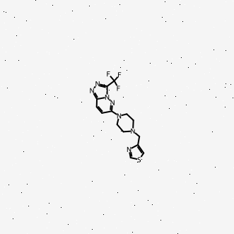 FC(F)(F)c1nnc2ccc(N3CCN(Cc4cscn4)CC3)nn12